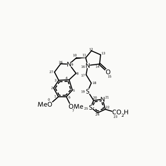 COc1cc2c(cc1OC)CN(C[C@H]1CCC(=O)N1CCSc1nc(C(=O)O)cs1)CC2